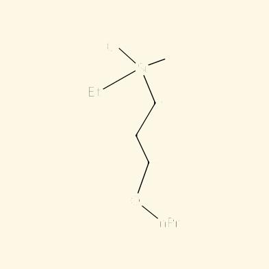 CCCOCCC[Si](C)(Cl)CC